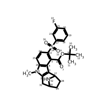 Cn1c2c(c3c(C(=O)OC(C)(C)C)c(S(=O)(=O)c4cccc(F)c4)ccc31)C1CCC(C2)N1